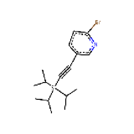 CC(C)[Si](C#Cc1ccc(Br)nc1)(C(C)C)C(C)C